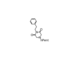 CCCCCN1CC(=O)N(CCc2ccccc2)C(=O)C1